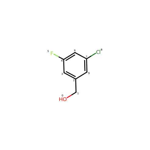 OCc1cc(F)cc(Cl)c1